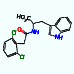 O=C(Cc1c(Cl)cccc1Cl)NC(Cc1c[nH]c2ccccc12)C(=O)O